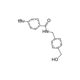 CC(C)(C)c1ccc(C(=O)NCc2ccc(CO)cc2)cc1